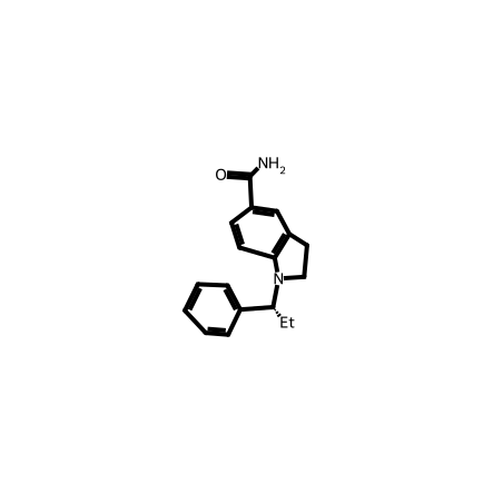 CC[C@H](c1ccccc1)N1CCc2cc(C(N)=O)ccc21